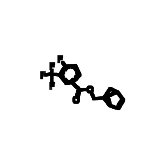 O=C(OCC1CC2C=CC1C2)c1ccc(F)c(C(F)(F)F)c1